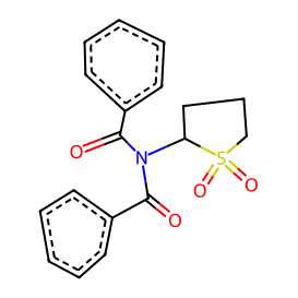 O=C(c1ccccc1)N(C(=O)c1ccccc1)C1CCCS1(=O)=O